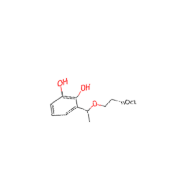 CCCCCCCCCCOC(C)c1cccc(O)c1O